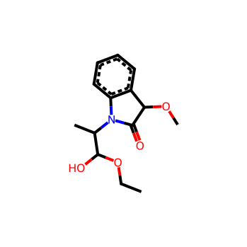 CCOC(O)C(C)N1C(=O)C(OC)c2ccccc21